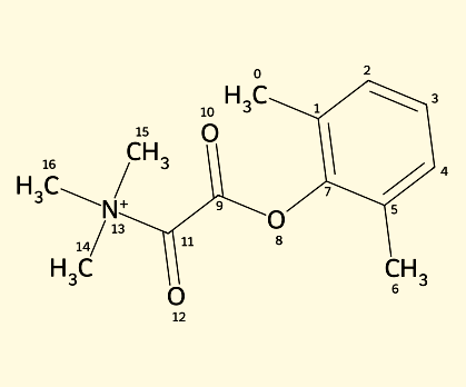 Cc1cccc(C)c1OC(=O)C(=O)[N+](C)(C)C